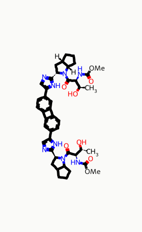 COC(=O)N[C@H](C(=O)N1C2CCCC2C[C@H]1c1ncc(-c2ccc3c(c2)-c2ccc(-c4cnc([C@@H]5C[C@@H]6CCC[C@@H]6N5C(=O)[C@@H](NC(=O)OC)[C@@H](C)O)[nH]4)cc2-3)[nH]1)[C@@H](C)O